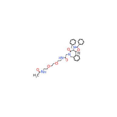 CC(=O)NCCOCCOCCNC(=O)CN1Cc2ccccc2[C@@H]2OC(c3ccccc3)=N[C@]2(Cc2ccccc2)C1=O